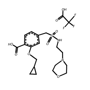 O=C(O)C(F)(F)F.O=C(O)c1ccc(CS(=O)(=O)NCCN2CCOCC2)cc1OCC1CC1